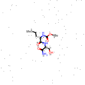 CSCC[C@H](NC(=O)OC(C)(C)C)C(=O)N[C@@H](CO)C(N)=O